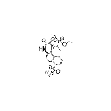 CCOP(=O)(OCC)C(C)n1c(=O)c(=O)[nH]c2ccc3c(S(N)(=O)=O)cccc3c21